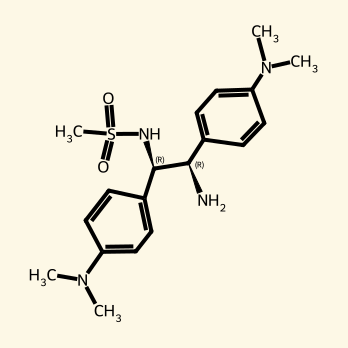 CN(C)c1ccc([C@@H](N)[C@H](NS(C)(=O)=O)c2ccc(N(C)C)cc2)cc1